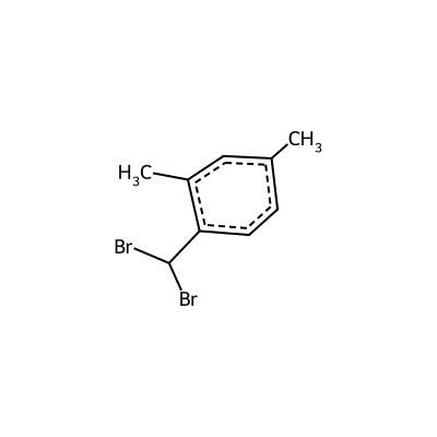 Cc1ccc(C(Br)Br)c(C)c1